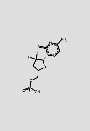 Nc1ccn([C@@H]2O[C@H](CO[PH](=O)O)CC2(F)F)c(=O)n1